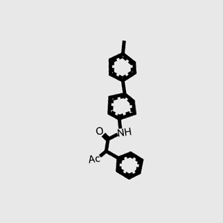 CC(=O)C(C(=O)Nc1ccc(-c2ccc(C)cc2)cc1)c1ccccc1